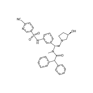 CN(C(=O)C(c1ccccc1)c1ccccc1)[C@H](CN1CC[C@@H](O)C1)c1cccc(NS(=O)(=O)c2ccc(C#N)nc2)c1